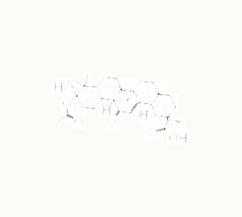 CC(=O)O[C@@]1(O)CC[C@@]2(C)C(CC[C@]3(C)[C@@H]2C(=O)C=C2[C@@H]4C[C@@](C)(C(=O)O)CC[C@]4(C)CC[C@]23C)C1(C)C